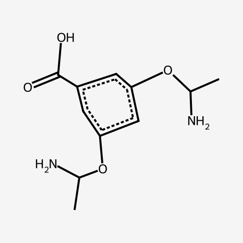 CC(N)Oc1cc(OC(C)N)cc(C(=O)O)c1